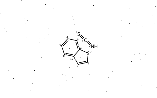 N=C=S.c1ccc2sccc2c1